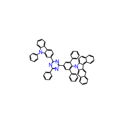 c1ccc(-c2nc(-c3cc(-c4ccccc4)c(-n4c5cc6ccccc6cc5c5c6ccccc6ccc54)c(-c4ccccc4)c3)nc(-c3ccc4c5ccccc5n(-c5ccccc5)c4c3)n2)cc1